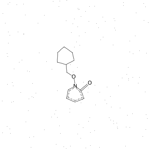 O=c1ccccn1OCC1CCCCC1